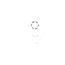 [O]c1ccccc1CN1CCCCC1